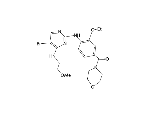 CCOc1cc(C(=O)N2CCOCC2)ccc1Nc1ncc(Br)c(NCCOC)n1